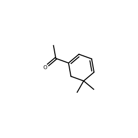 CC(=O)C1=CC=CC(C)(C)C1